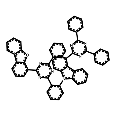 c1ccc(-c2nc(-c3ccccc3-n3c4ccccc4c4c(-c5nc(-c6ccccc6)nc(-c6ccccc6)n5)cccc43)nc(-c3cccc4c3oc3ccccc34)n2)cc1